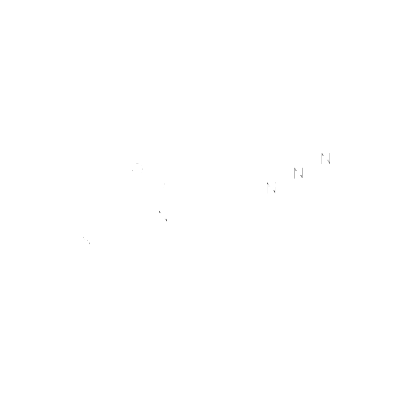 [N-]=[N+]=NCc1ccn(-c2ccsc2)c(=O)c1